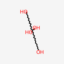 OCCCCCCCCCCCCCC(O)C(CO)CCCCCCCCCCCCO